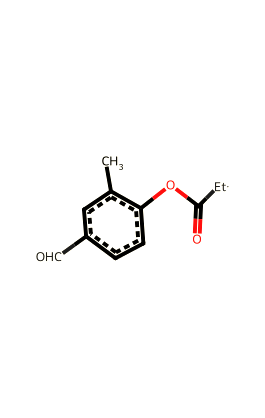 C[CH]C(=O)Oc1ccc(C=O)cc1C